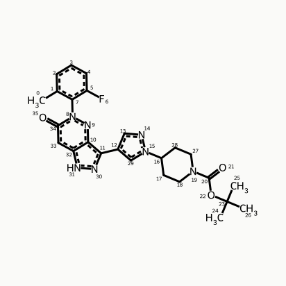 Cc1cccc(F)c1-n1nc2c(-c3cnn(C4CCN(C(=O)OC(C)(C)C)CC4)c3)n[nH]c2cc1=O